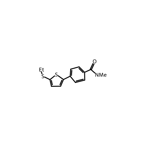 CCSc1ccc(-c2ccc(C(=O)NC)cc2)s1